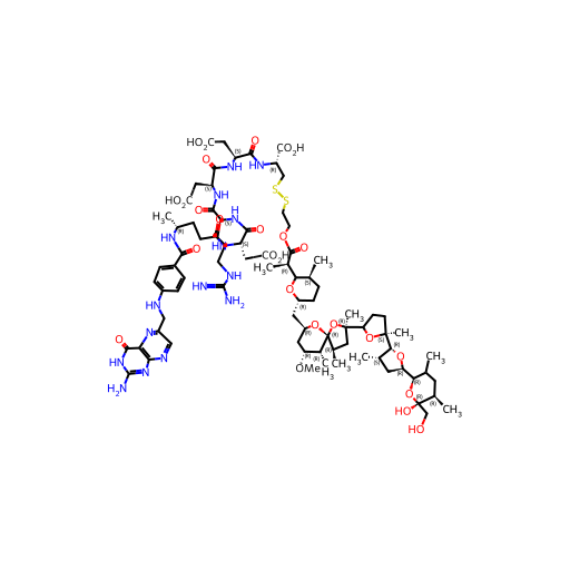 CO[C@@H]1C[C@@H](C[C@H]2CC[C@H](C)C([C@@H](C)C(=O)OCCSSC[C@H](NC(=O)[C@H](CC(=O)O)NC(=O)[C@H](CC(=O)O)NC(=O)[C@H](CCCNC(=N)N)NC(=O)[C@H](CC(=O)O)NC(=O)CC[C@@H](C)NC(=O)c3ccc(NCc4cnc5nc(N)[nH]c(=O)c5n4)cc3)C(=O)O)O2)O[C@]2(O[C@@](C)(C3CC[C@@](C)([C@@H]4O[C@@H]([C@@H]5O[C@@](O)(CO)[C@H](C)CC5C)C[C@@H]4C)O3)C[C@H]2C)[C@@H]1C